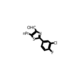 CCCc1sc(-c2ccc(F)c(Cl)c2)nc1C=O